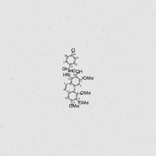 COc1ccc(/C=C\c2cc(OC)c(OC)c(OC)c2)c(NS(=O)(=O)c2ccc(Cl)cc2)c1O